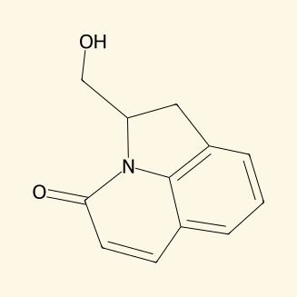 O=c1ccc2cccc3c2n1C(CO)C3